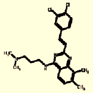 Cc1ccc2c(NCCCN(C)C)nc(/C=C/c3ccc(Cl)c(Cl)c3)nc2c1C